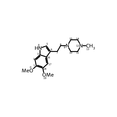 COc1cc2[nH]cc(CCN3CCN(C)CC3)c2cc1OC